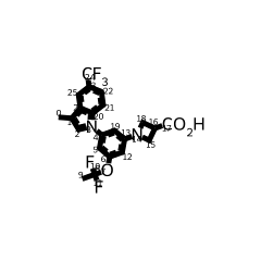 Cc1cn(-c2cc(OC(C)(F)F)cc(N3CC(C(=O)O)C3)c2)c2ccc(C(F)(F)F)cc12